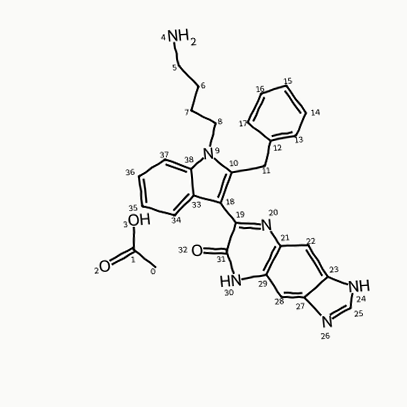 CC(=O)O.NCCCCn1c(Cc2ccccc2)c(-c2nc3cc4[nH]cnc4cc3[nH]c2=O)c2ccccc21